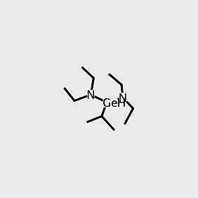 CC[N](CC)[GeH]([CH](C)C)[N](CC)CC